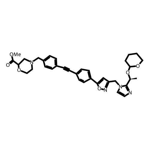 COC(=O)C1CN(Cc2ccc(C#Cc3ccc(-c4cc(Cn5ccnc5[C@H](C)OC5CCCCO5)no4)cc3)cc2)CCO1